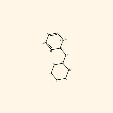 C1=CNC(CC2CCCCC2)C=N1